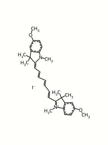 COc1ccc2c(c1)C(C)(C)C(=CC=CC=CC=CC1=[N+](C)c3ccc(OC)cc3C1(C)C)N2C.[I-]